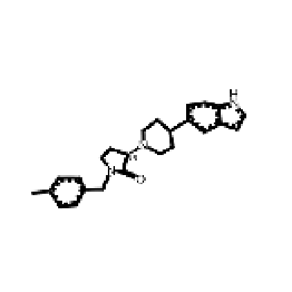 Cc1ccc(CN2CC[C@@H](N3CCC(c4ccc5[nH]ccc5c4)CC3)C2=O)cc1